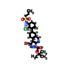 CCCS(=O)(=O)Nc1ccc(F)c(-c2ccc3c(cnc4c3c(Br)nn4C(=O)OC(C)(C)C)c2)c1Cl